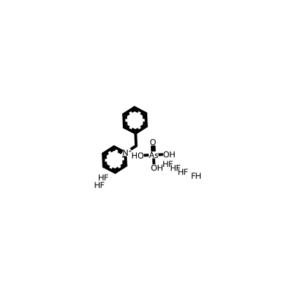 F.F.F.F.F.F.O=[As](O)(O)O.c1ccc(C[n+]2ccccc2)cc1